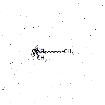 CCCCCCCCCCCCCCC/C=C(\C)C(CCC)N1C(=O)CCC1=O